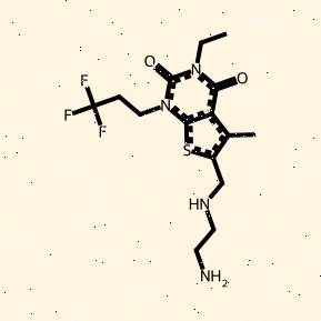 CCn1c(=O)c2c(C)c(CNCCN)sc2n(CCC(F)(F)F)c1=O